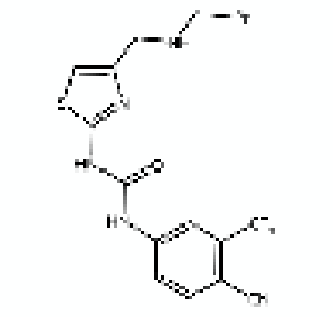 CC(C)CNCc1csc(NC(=O)Nc2ccc(C#N)c(C(F)(F)F)c2)n1